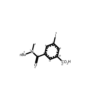 CCCCN(C)C(=O)c1cc(I)cc(C(=O)O)c1